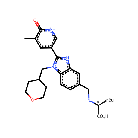 CCCC[C@H](NCc1ccc2c(c1)nc(-c1c[nH]c(=O)c(C)c1)n2CC1CCOCC1)C(=O)O